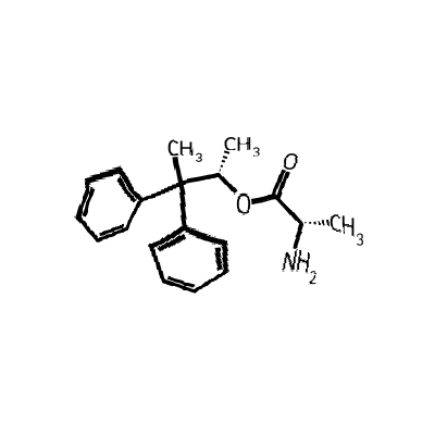 C[C@H](N)C(=O)O[C@@H](C)C(C)(c1ccccc1)c1ccccc1